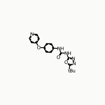 CC(C)(C)c1nnc(NC(=O)Nc2ccc(Oc3ccncc3)cc2)o1